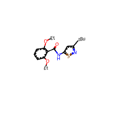 CCOc1cccc(OCC)c1C(=O)Nc1cc(C(C)(C)C)ns1